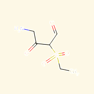 CCS(=O)(=O)C([C]=O)C(=O)CN